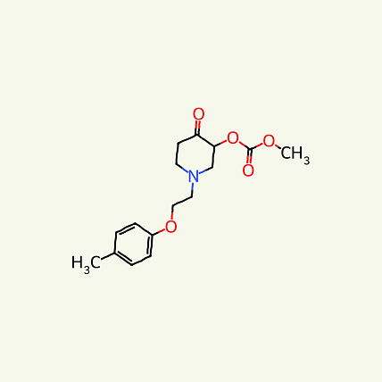 COC(=O)OC1CN(CCOc2ccc(C)cc2)CCC1=O